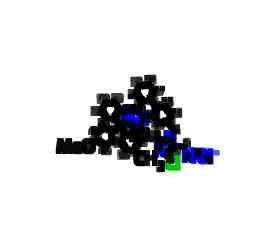 CCCCc1nc(Cl)c(CN=[N+]=[N-])n1Cc1ccc(-c2ccccc2-c2nnn(C(c3ccccc3)(c3ccc(C)cc3)c3ccc(OC)cc3)n2)cc1